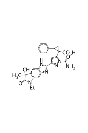 CCN1C(=O)C(C)(C)c2cc3[nH]c(-c4[c]c(C5(C(=O)O)CC5c5ccccc5)n(C(N)=O)n4)nc3cc21